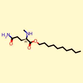 CCCCCCCCCCOC(=O)[C@@H](CCC(N)=O)NC